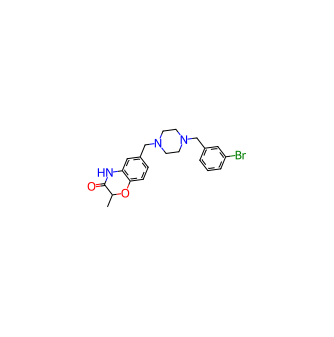 CC1Oc2ccc(CN3CCN(Cc4cccc(Br)c4)CC3)cc2NC1=O